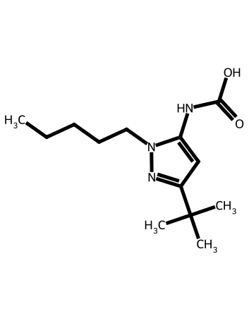 CCCCCn1nc(C(C)(C)C)cc1NC(=O)O